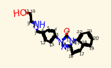 O=c1n(-c2ccc(CNCCO)cc2)nc2ccc3ccccc3n12